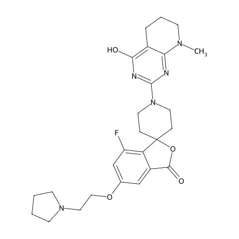 CN1CCCc2c(O)nc(N3CCC4(CC3)OC(=O)c3cc(OCCN5CCCC5)cc(F)c34)nc21